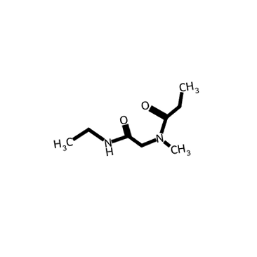 CCNC(=O)CN(C)C(=O)CC